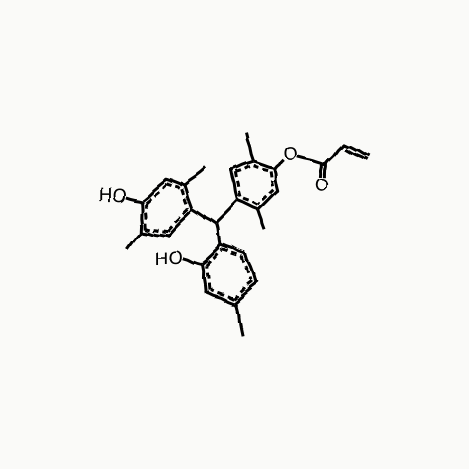 C=CC(=O)Oc1cc(C)c(C(c2cc(C)c(O)cc2C)c2ccc(C)cc2O)cc1C